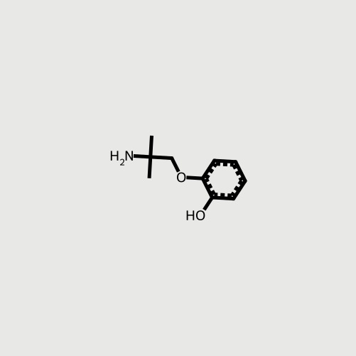 CC(C)(N)COc1ccccc1O